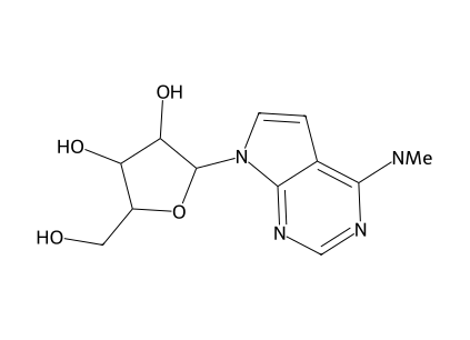 CNc1ncnc2c1ccn2C1OC(CO)C(O)C1O